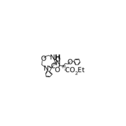 CCOC(=O)C[C@@H](CCOc1ccccc1)C(=O)N[C@H]1Cc2cn(c3ccccc23)CCOCCNC1=O